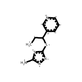 CCC(Sc1nnc(N)s1)c1cccnc1